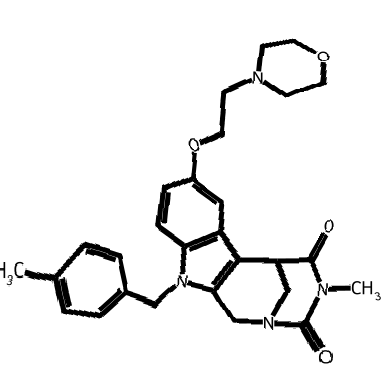 Cc1ccc(Cn2c3c(c4cc(OCCN5CCOCC5)ccc42)C2CN(C3)C(=O)N(C)C2=O)cc1